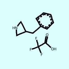 O=C(O)C(F)(F)F.c1ccc(CC2CNC2)cc1